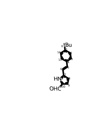 CC(C)(C)c1ccc(C=Cc2ccc(C=O)[nH]2)cc1